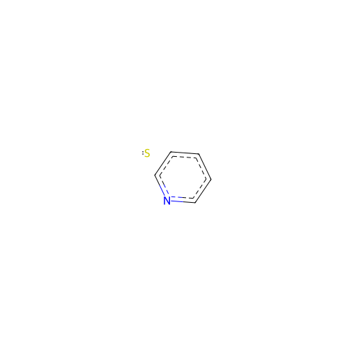 [S].c1ccncc1